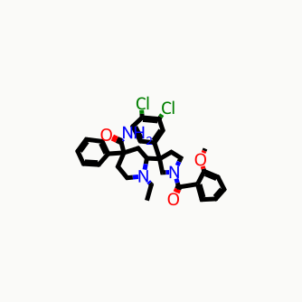 CCN1CCC(C(N)=O)(c2ccccc2)CC1C1(c2ccc(Cl)c(Cl)c2)CCN(C(=O)c2ccccc2OC)C1